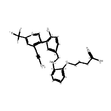 CC#Cc1cc(C(F)(F)F)ncc1-c1cc(CNc2ccccc2OCCCC(=O)O)ccc1Cl